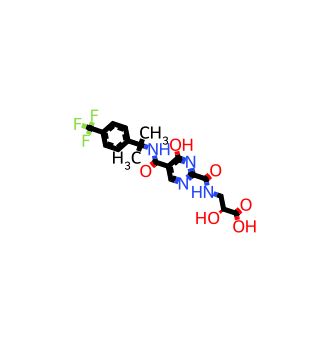 CC(C)(NC(=O)c1cnc(C(=O)NC[C@H](O)C(=O)O)nc1O)c1ccc(C(F)(F)F)cc1